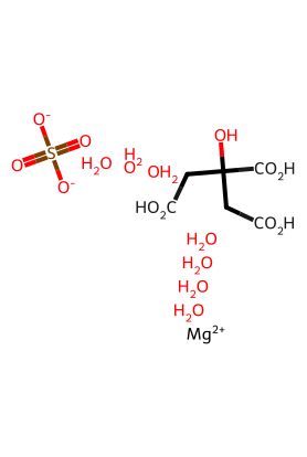 O.O.O.O.O.O.O.O=C(O)CC(O)(CC(=O)O)C(=O)O.O=S(=O)([O-])[O-].[Mg+2]